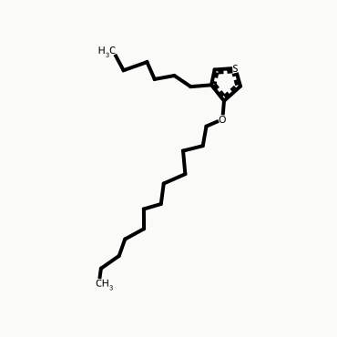 CCCCCCCCCCCCOc1cscc1CCCCCC